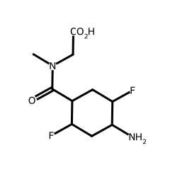 CN(CC(=O)O)C(=O)C1CC(F)C(N)CC1F